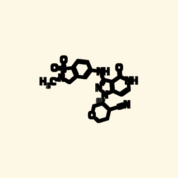 CN1Cc2cc(Nc3nn([C@H]4COCCC4C#N)c4cc[nH]c(=O)c34)ccc2S1(=O)=O